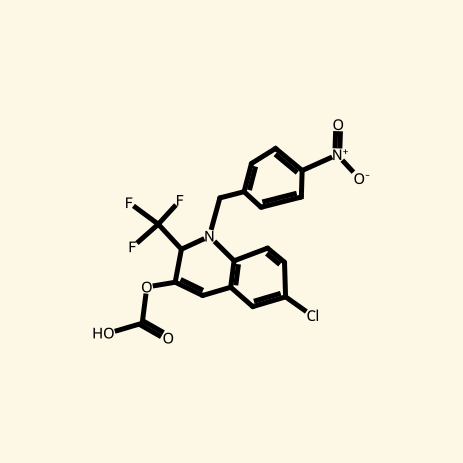 O=C(O)OC1=Cc2cc(Cl)ccc2N(Cc2ccc([N+](=O)[O-])cc2)C1C(F)(F)F